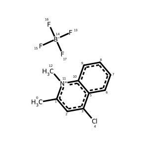 Cc1cc(Cl)c2ccccc2[n+]1C.F[B-](F)(F)F